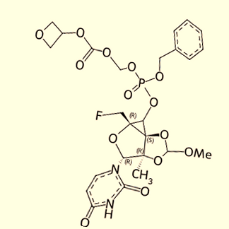 COC1O[C@]23C(OP(=O)(OCOC(=O)OC4COC4)OCc4ccccc4)[C@@]2(CF)O[C@@H](n2ccc(=O)[nH]c2=O)[C@]3(C)O1